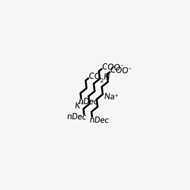 CCCCCCCCCCCCCC(=O)O.CCCCCCCCCCCCCCCCCC(=O)[O-].CCCCCCCCCCCCCCCCCC(=O)[O-].[K+].[Na+]